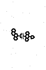 c1ccc(-c2c3ccccc3c(-c3ncc(-c4cc5c6ccccc6ccc5c5ccccc45)cn3)c3ccccc23)cc1